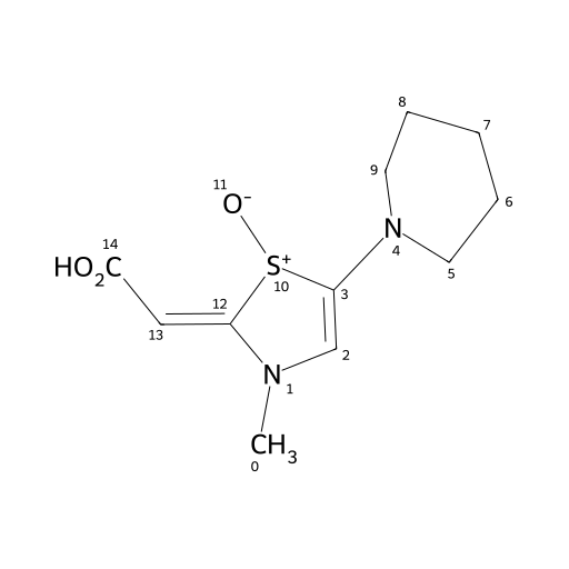 CN1C=C(N2CCCCC2)[S+]([O-])C1=CC(=O)O